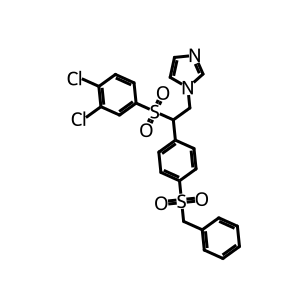 O=S(=O)(Cc1ccccc1)c1ccc(C(Cn2ccnc2)S(=O)(=O)c2ccc(Cl)c(Cl)c2)cc1